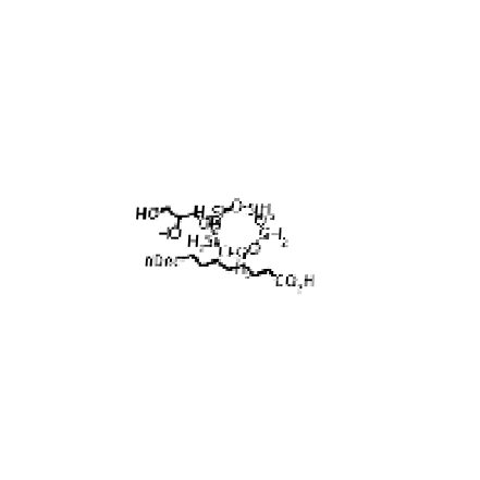 CCCCCCCCCCCCCCCCCC(=O)O.O1[SiH2]O[SiH2]O[SiH2]O[SiH2]O[SiH2]1.OCC(O)CO